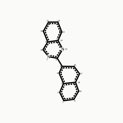 c1ccc2cc(-c3ncc4ccccc4n3)ccc2c1